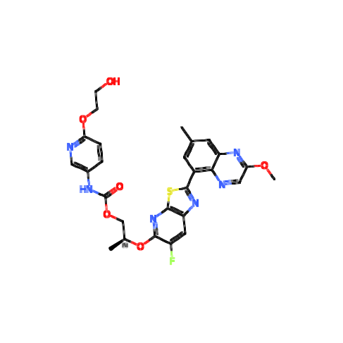 COc1cnc2c(-c3nc4cc(F)c(O[C@@H](C)COC(=O)Nc5ccc(OCCO)nc5)nc4s3)cc(C)cc2n1